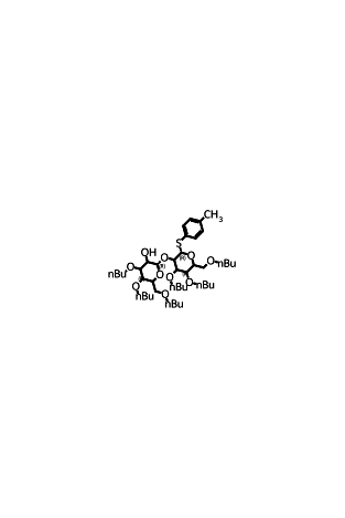 CCCCOCC1O[C@H](OC2C(OCCCC)[C@H](OCCCC)C(COCCCC)O[C@@H]2Sc2ccc(C)cc2)C(O)C(OCCCC)[C@@H]1OCCCC